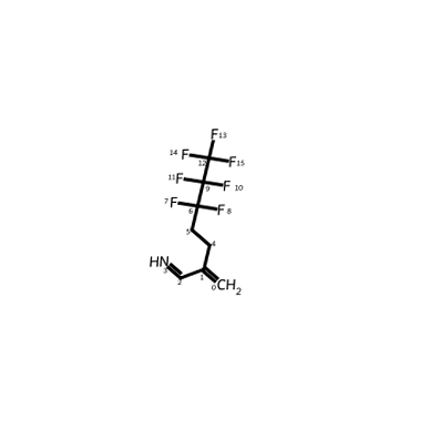 C=C(C=N)CCC(F)(F)C(F)(F)C(F)(F)F